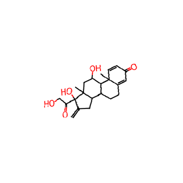 C=C1CC2C3CCC4=CC(=O)C=CC4(C)C3C(O)CC2(C)C1(O)C(=O)CO